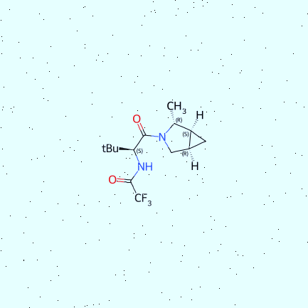 C[C@@H]1[C@H]2C[C@H]2CN1C(=O)[C@@H](NC(=O)C(F)(F)F)C(C)(C)C